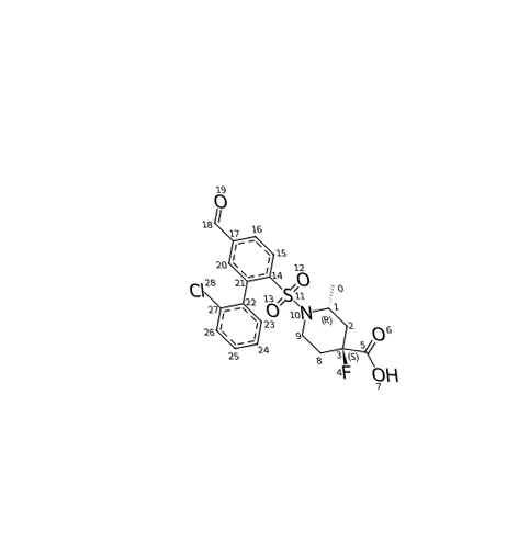 C[C@@H]1C[C@](F)(C(=O)O)CCN1S(=O)(=O)c1ccc(C=O)cc1-c1ccccc1Cl